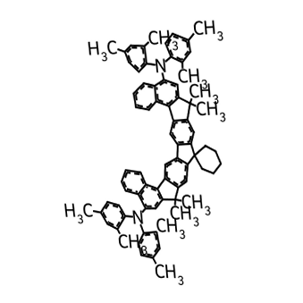 Cc1ccc(N(c2ccc(C)cc2C)c2cc3c(c4ccccc24)-c2cc4c(cc2C3(C)C)C2(CCCCC2)c2cc3c(cc2-4)-c2c(cc(N(c4ccc(C)cc4C)c4ccc(C)cc4C)c4ccccc24)C3(C)C)c(C)c1